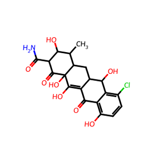 CC1C(O)C(C(N)=O)C(=O)C2(O)C(O)=C3C(=O)c4c(O)ccc(Cl)c4C(O)C3CC12